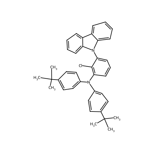 CC(C)(C)c1ccc(N(c2ccc(C(C)(C)C)cc2)c2cccc(-n3c4ccccc4c4ccccc43)c2Cl)cc1